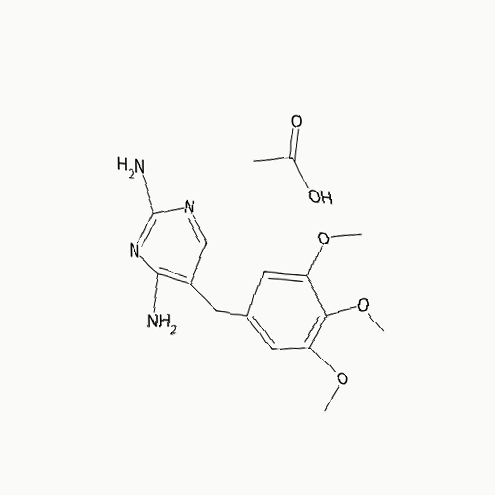 CC(=O)O.COc1cc(Cc2cnc(N)nc2N)cc(OC)c1OC